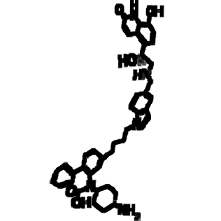 NC1CCC(N(C(=O)O)c2cc(CCCCn3ccc4cc(CNC[C@H](O)c5ccc(O)c6[nH]c(=O)ccc56)ccc43)ccc2-c2ccccc2)CC1